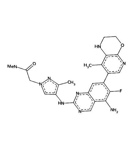 CNC(=O)Cn1cc(Nc2ncc3c(N)c(F)c(-c4cnc5c(c4C)NCCO5)cc3n2)c(C)n1